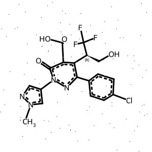 Cn1cc(-n2nc(-c3ccc(Cl)cc3)c([C@H](CO)C(F)(F)F)c(C(=O)O)c2=O)cn1